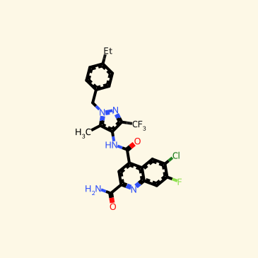 CCc1ccc(Cn2nc(C(F)(F)F)c(NC(=O)c3cc(C(N)=O)nc4cc(F)c(Cl)cc34)c2C)cc1